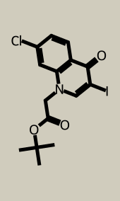 CC(C)(C)OC(=O)Cn1cc(I)c(=O)c2ccc(Cl)cc21